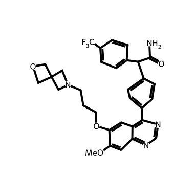 COc1cc2ncnc(-c3ccc(C(C(N)=O)c4ccc(C(F)(F)F)cc4)cc3)c2cc1OCCCN1CC2(COC2)C1